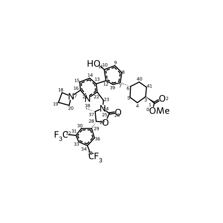 COC(=O)[C@H]1CC[C@H](c2ccc(O)c(-c3ccc(N4CCC4)nc3CN3C(=O)O[C@H](c4cc(C(F)(F)F)cc(C(F)(F)F)c4)[C@@H]3C)c2)CC1